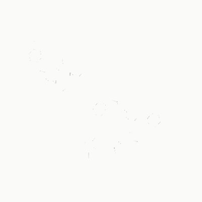 COC(=O)[C@@H]1CCCN(C(=O)[C@H](Cc2cccc(O)c2)NC(=O)[C@@H](NC(=O)CCSSc2cccc(C3CCN(C(=O)[C@H](Cc4cccc(O)c4)NC(=O)[C@@H](NC(=O)CCN4C(=O)C=CC4=O)C(C)C)N[C@@H]3C(=O)OC)n2)C(C)C)N1